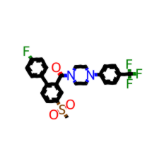 CS(=O)(=O)c1ccc(-c2ccc(F)cc2)c(C(=O)N2CCN(c3ccc(C(F)(F)F)cc3)CC2)c1